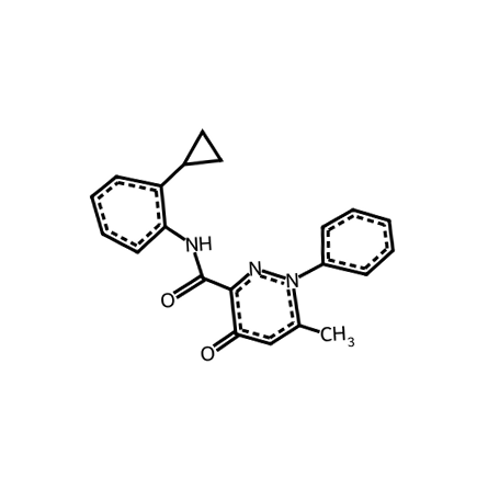 Cc1cc(=O)c(C(=O)Nc2ccccc2C2CC2)nn1-c1ccccc1